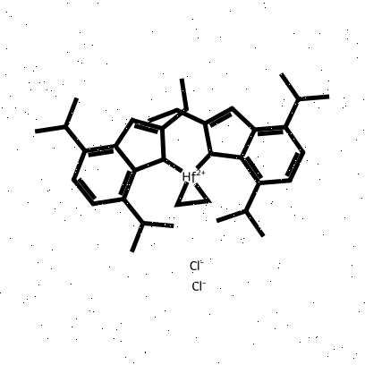 CCC1=Cc2c(C(C)C)ccc(C(C)C)c2[CH]1[Hf+2]1([CH]2C(CC)=Cc3c(C(C)C)ccc(C(C)C)c32)[CH2][CH2]1.[Cl-].[Cl-]